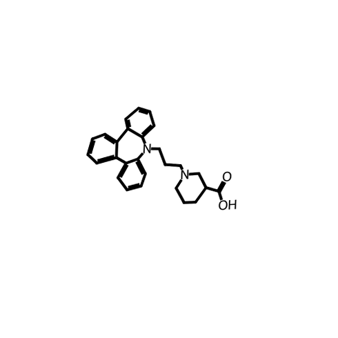 O=C(O)C1CCCN(CCCN2c3ccccc3-c3ccccc3-c3ccccc32)C1